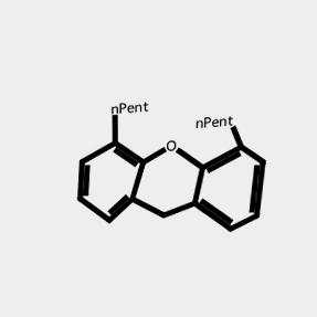 CCCCCc1cccc2c1Oc1c(CCCCC)cccc1C2